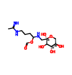 CC(=N)NCCCC(NC[C@@]1(O)OC[C@@H](O)[C@H](O)C1O)OC=O